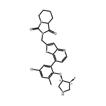 Cc1cc(Cl)cc(-c2ccnc3cc(CN4C(=O)C5CCCCN5C4=O)sc23)c1O[C@@H]1CNC[C@@H]1F